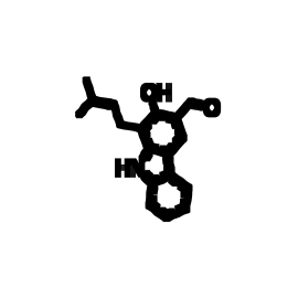 CC(C)=CCc1c(O)c(C=O)cc2c1[nH]c1ccccc12